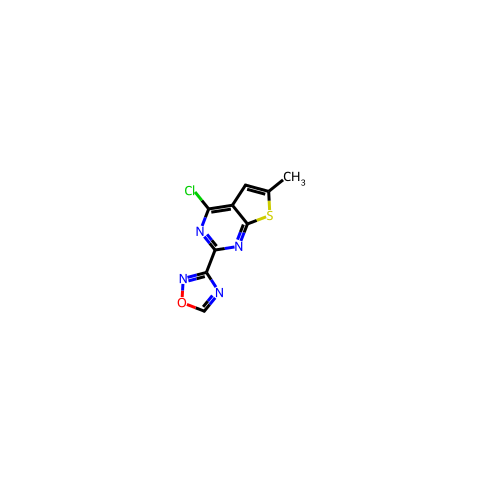 Cc1cc2c(Cl)nc(-c3ncon3)nc2s1